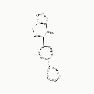 O=C1C(c2ccc(-c3ccccc3)cc2)=CCn2cnnc21